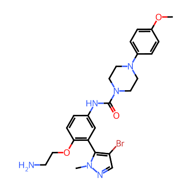 COc1ccc(N2CCN(C(=O)Nc3ccc(OCCN)c(-c4c(Br)cnn4C)c3)CC2)cc1